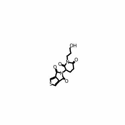 O=C1CCC(N2C(=O)c3cscc3C2=O)C(=O)N1CCCO